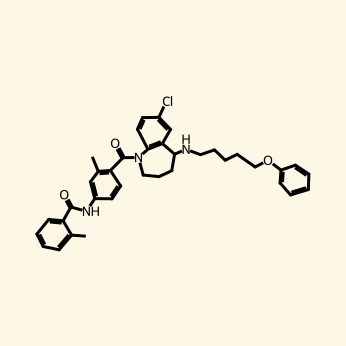 Cc1ccccc1C(=O)Nc1ccc(C(=O)N2CCCC(NCCCCCOc3ccccc3)c3cc(Cl)ccc32)c(C)c1